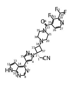 N#CC[C@]1(n2cc(-c3ncnc4[nH]ccc34)cn2)C[C@@H](N2CCN(C(=O)c3ccnc(C(F)F)c3F)CC2)C1